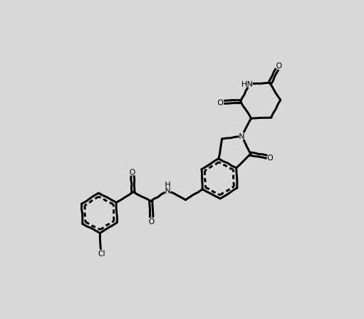 O=C1CCC(N2Cc3cc(CNC(=O)C(=O)c4cccc(Cl)c4)ccc3C2=O)C(=O)N1